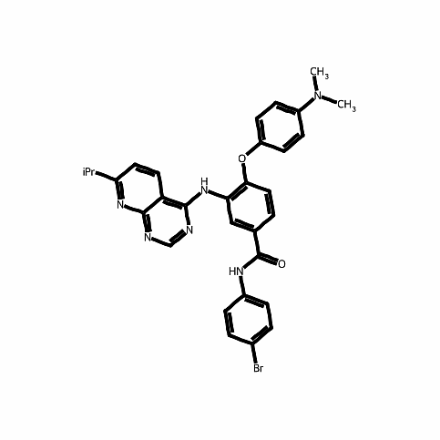 CC(C)c1ccc2c(Nc3cc(C(=O)Nc4ccc(Br)cc4)ccc3Oc3ccc(N(C)C)cc3)ncnc2n1